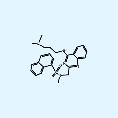 CN(C)CCCNc1nc(CN(C)S(=O)(=O)c2cccc3ccccc23)nc2ccccc12